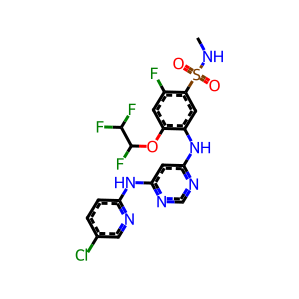 CNS(=O)(=O)c1cc(Nc2cc(Nc3ccc(Cl)cn3)ncn2)c(OC(F)C(F)F)cc1F